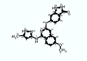 COc1ccc2c(Nc3cc(C)[nH]n3)nc(Sc3ccc4c(=O)[nH][nH]c4c3)cc2c1